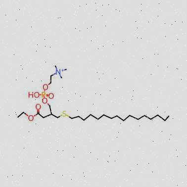 CCCCCCCCCCCCCCCCSCC(COP(=O)(O)OCC[N+](C)(C)C)CC(=O)OCC